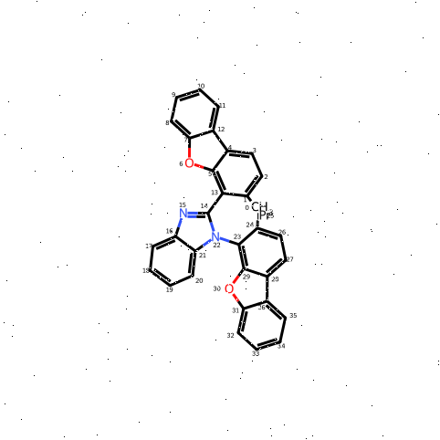 Cc1ccc2c(oc3ccccc32)c1-c1nc2ccccc2n1-c1c(C(C)C)ccc2c1oc1ccccc12